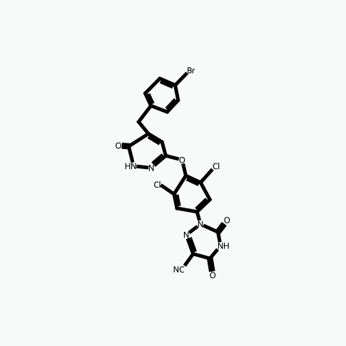 N#Cc1nn(-c2cc(Cl)c(Oc3cc(Cc4ccc(Br)cc4)c(=O)[nH]n3)c(Cl)c2)c(=O)[nH]c1=O